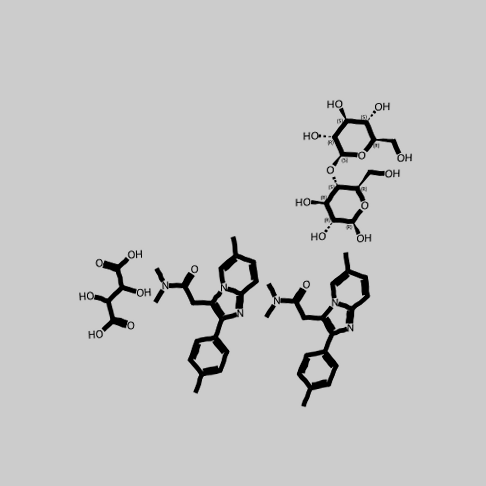 Cc1ccc(-c2nc3ccc(C)cn3c2CC(=O)N(C)C)cc1.Cc1ccc(-c2nc3ccc(C)cn3c2CC(=O)N(C)C)cc1.O=C(O)C(O)C(O)C(=O)O.OC[C@H]1O[C@@H](O[C@H]2[C@H](O)[C@@H](O)[C@H](O)O[C@@H]2CO)[C@H](O)[C@@H](O)[C@@H]1O